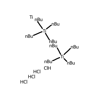 CCC[CH2][Ti]([CH2]CCC)([CH2]CCC)[CH2]CCC.CCC[CH2][Ti]([CH2]CCC)([CH2]CCC)[CH2]CCC.Cl.Cl.Cl.Cl.[Ti]